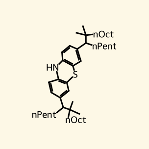 CCCCCCCCC(C)(C)C(CCCCC)c1ccc2c(c1)Sc1cc(C(CCCCC)C(C)(C)CCCCCCCC)ccc1N2